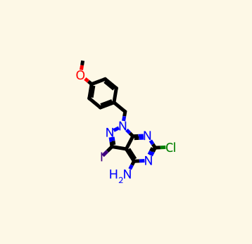 COc1ccc(Cn2nc(I)c3c(N)nc(Cl)nc32)cc1